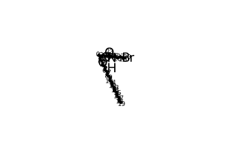 C=C(COCCCCCCCCCCCCCCCC)COC(=O)NCCCCBr